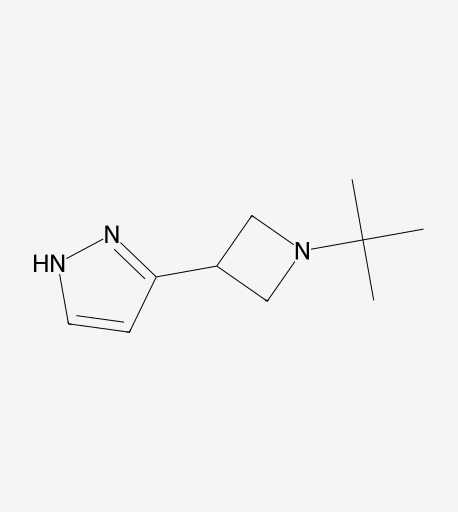 CC(C)(C)N1CC(c2cc[nH]n2)C1